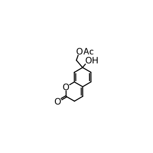 CC(=O)OCC1(O)C=CC2=CCC(=O)OC2=C1